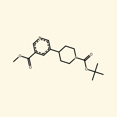 COC(=O)c1cncc(C2CCN(C(=O)OC(C)(C)C)CC2)c1